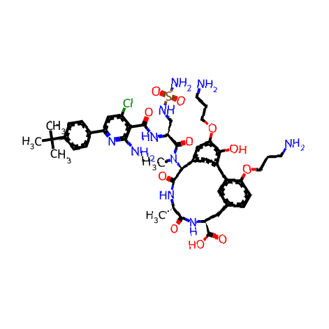 C[C@@H]1NC(=O)[C@@H](N(C)C(=O)[C@H](CNS(N)(=O)=O)NC(=O)c2c(Cl)cc(-c3ccc(C(C)(C)C)cc3)nc2N)c2cc(OCCCN)c(O)c(c2)-c2cc(ccc2OCCCN)C[C@@H](C(=O)O)NC1=O